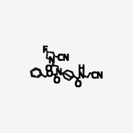 N#CCCNC(=O)C12CCC(N(CC(=O)N3C[C@@H](F)C[C@H]3C#N)C(=O)OCc3ccccc3)(CC1)CC2